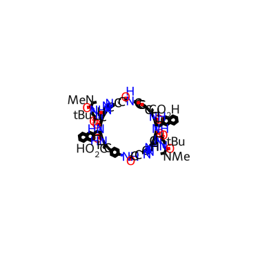 CN[C@@H](C)C(=O)N[C@H](C(=O)N1C[C@@H]2C[C@H]1C(=O)N[C@@H](Cc1ccc3ccccc3c1)C(=O)N[C@H](C(=O)O)Cc1ccc(cc1)NC(=O)CCc1cn(nn1)[C@H]1C[C@@H](C(=O)N[C@@H](Cc3ccc4ccccc4c3)C(=O)N[C@H](C(=O)O)Cc3ccc(cc3)NC(=O)CCc3cn2nn3)N(C(=O)[C@@H](NC(=O)[C@H](C)NC)C(C)(C)C)C1)C(C)(C)C